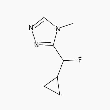 Cn1cnnc1C(F)C1[CH]C1